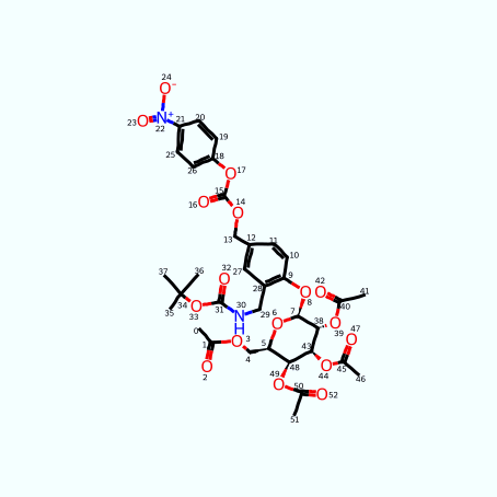 CC(=O)OC[C@H]1O[C@@H](Oc2ccc(COC(=O)Oc3ccc([N+](=O)[O-])cc3)cc2CNC(=O)OC(C)(C)C)[C@H](OC(C)=O)[C@@H](OC(C)=O)[C@H]1OC(C)=O